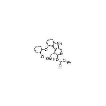 COCc1c(OC(=O)OC(C)C)ncc2[nH]c3cccc(Oc4ccccc4Cl)c3c12